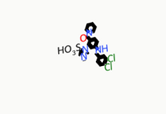 Cn1cnc(S(=O)(=O)O)c1.O=C(c1ccc(NCc2ccc(Cl)c(Cl)c2)cc1)N1CCCCC1